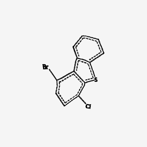 Clc1ccc(Br)c2c1sc1ccccc12